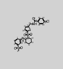 CS(=O)(=O)c1cccc(NC2CCCCN2S(=O)(=O)c2ccc(CNC(=O)c3ccc(Cl)cc3)s2)c1